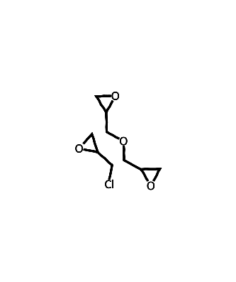 C(OCC1CO1)C1CO1.ClCC1CO1